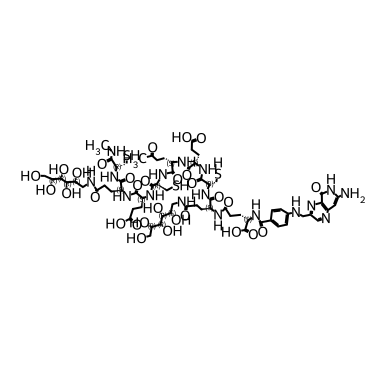 CNC(=O)[C@H](CS)NC(=O)[C@H](CCC(=O)NC[C@H](O)[C@@H](O)[C@H](O)[C@H](O)CO)NC(=O)[C@H](CCC(=O)O)NC(=O)[C@H](CS)NC(=O)[C@H](CCC(C)=O)NC(=O)[C@H](CCC(=O)O)NC(=O)[C@H](CS)NC(=O)[C@H](CCC(=O)NC[C@H](O)[C@@H](O)[C@H](O)[C@H](O)CO)NC(=O)CC[C@H](NC(=O)c1ccc(NCc2cnc3cc(N)[nH]c(=O)c3n2)cc1)C(=O)O